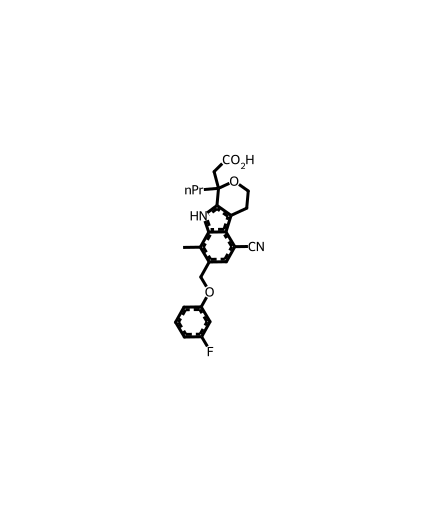 CCCC1(CC(=O)O)OCCc2c1[nH]c1c(C)c(COc3cccc(F)c3)cc(C#N)c21